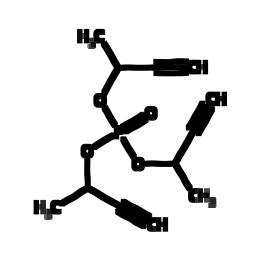 C#CC(C)OP(=O)(OC(C)C#C)OC(C)C#C